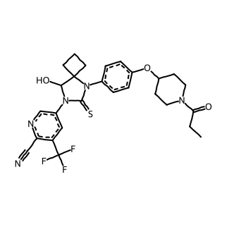 CCC(=O)N1CCC(Oc2ccc(N3C(=S)N(c4cnc(C#N)c(C(F)(F)F)c4)C(O)C34CCC4)cc2)CC1